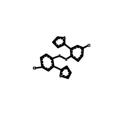 Clc1ccc(SSc2ccc(Cl)cc2-c2cccs2)c(-c2cccs2)c1